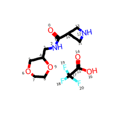 O=C(NCC1COCCO1)C1CNC1.O=C(O)C(F)(F)F